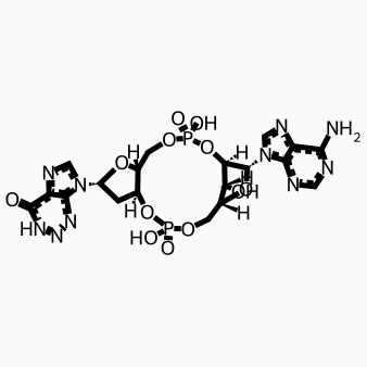 Nc1ncnc2c1ncn2[C@@H]1O[C@@H]2COP(=O)(O)O[C@H]3C[C@H](n4cnc5c(=O)[nH]nnc54)O[C@@H]3COP(=O)(O)O[C@@H]1[C@@H]2O